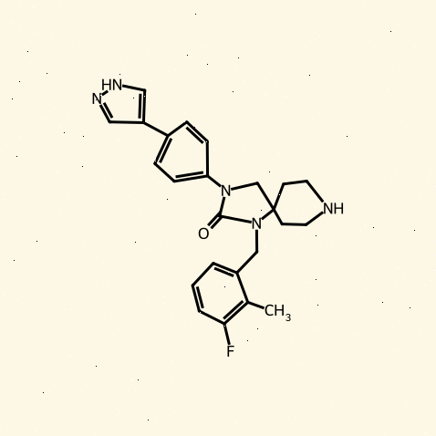 Cc1c(F)cccc1CN1C(=O)N(c2ccc(-c3cn[nH]c3)cc2)CC12CCNCC2